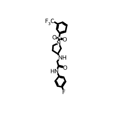 O=C(CNC1CCN(S(=O)(=O)c2cccc(C(F)(F)F)c2)C1)Nc1ccc(F)cc1